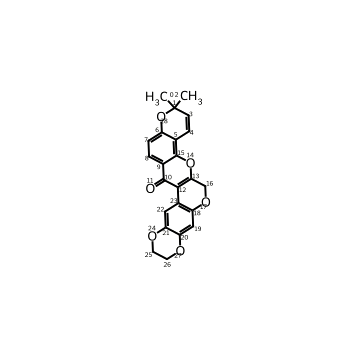 CC1(C)C=Cc2c(ccc3c(=O)c4c(oc23)COc2cc3c(cc2-4)OCCO3)O1